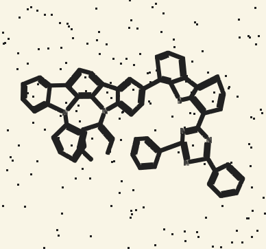 C/C=C\C(=C/C)n1c2ccc(-c3cccc4c3sc3c(-c5nc(-c6ccccc6)nc(-c6ccccc6)n5)cccc34)cc2c2ccc3c4ccccc4n(-c4ccccc4)c3c21